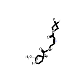 C[C@@H]1C[C@](F)(C(=O)NC/C=C\C(=O)N2CC(F)(F)C2)CCN1